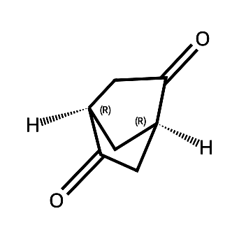 O=C1C[C@H]2C[C@@H]1CC2=O